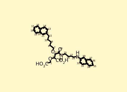 O=C(O)COC(C(=O)O)C(OCCCCCc1ccc2ccccc2c1)C(=O)NCCCCNc1ccc2ccccc2c1